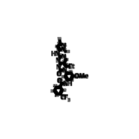 CCc1c2cnc(Nc3cc(C)nn3C)nc2nc(=O)n1-c1cc(NC(=O)c2cccc(C(F)(F)F)c2)cc(OC)c1